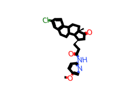 COc1ccc(NC(=O)CC[C@@H]2CC(=O)[C@@]3(C)CCC4c5ccc(Cl)cc5CCC4C23)nc1